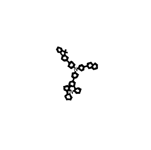 CC1(C)c2ccccc2-c2ccc(-c3ccc(N(c4ccc(-c5cccc(-c6ccccc6-n6c7ccccc7c7ccccc76)c5)cc4)c4ccc(-c5ccc6ccccc6c5)cc4)cc3)cc21